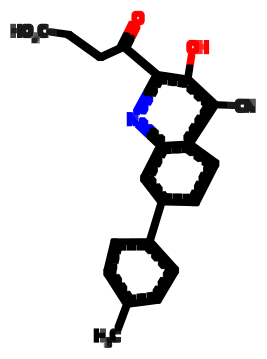 Cc1ccc(-c2ccc3c(C#N)c(O)c(C(=O)CCC(=O)O)nc3c2)cc1